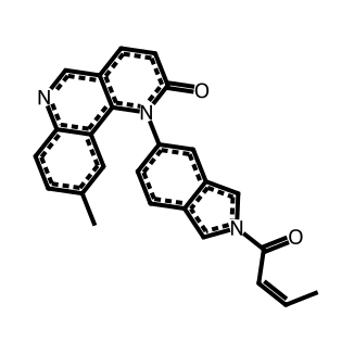 C/C=C\C(=O)n1cc2ccc(-n3c(=O)ccc4cnc5ccc(C)cc5c43)cc2c1